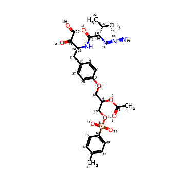 CC(=O)OC(COc1ccc(C[C@H](NC(=O)[C@@H](N=[N+]=[N-])C(C)C)C(=O)C=O)cc1)COS(=O)(=O)c1ccc(C)cc1